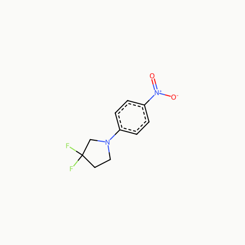 O=[N+]([O-])c1ccc(N2CCC(F)(F)C2)cc1